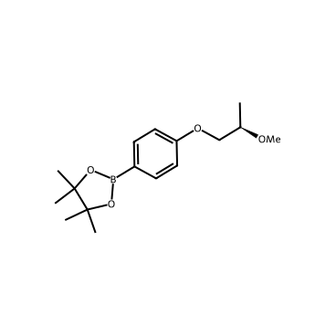 CO[C@H](C)COc1ccc(B2OC(C)(C)C(C)(C)O2)cc1